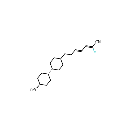 CCC[C@H]1CC[C@H](C2CCC(CCC=CC=C(F)C#N)CC2)CC1